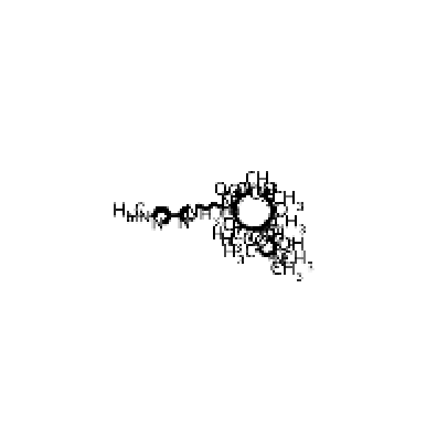 CC[C@H]1OC(=O)[C@H](C)C(=O)[C@H](C)[C@@H](O[C@@H]2O[C@H](C)C[C@H](N(C)C)[C@H]2O)[C@@](C)(OC)C[C@@H](C)C(=O)[C@H](C)[C@H]2N(CCCCn3cnc(-c4ccc(NC)nc4)c3)C(=O)O[C@]12C